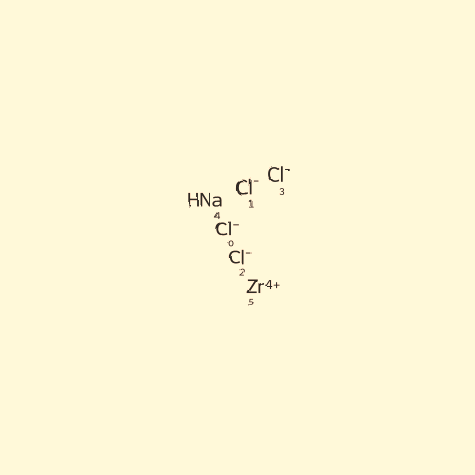 [Cl-].[Cl-].[Cl-].[Cl-].[NaH].[Zr+4]